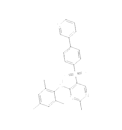 Cc1cc(C)c(Nc2nc(C)ncc2S(=O)(=O)c2ccc(-c3cccnc3)cc2)c(C)c1